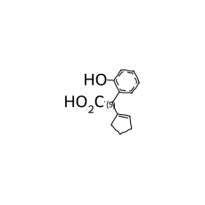 O=C(O)[C@@H](C1=CCCC1)c1ccccc1O